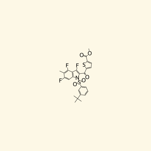 COC(=O)c1ccc(C(=O)c2c(F)c3c(F)c(C)c(F)cc3n2S(=O)(=O)c2cccc(C(C)(C)C)c2)s1